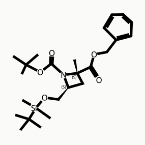 CC(C)(C)OC(=O)N1[C@H](CO[Si](C)(C)C(C)(C)C)C[C@@]1(C)C(=O)OCc1ccccc1